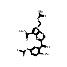 CNc1ccc(OC(F)F)cc1C(=N)c1cnc2c(n1)c(C(=O)OC)cn2COC(=O)C(C)(C)C